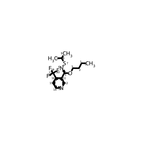 CCCCO/C(=N\SC(C)C)c1cnccc1C(F)(F)F